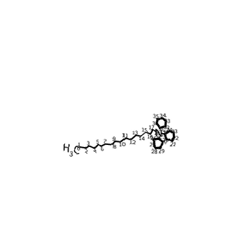 CCCCCCCCCCCCCCCCCC[N+](c1ccccc1)(c1ccccc1)c1ccccc1